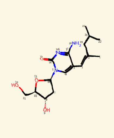 C/C(=C/c1cn([C@H]2C[C@H](O)[C@@H](CO)O2)c(=O)nc1N)CC(C)C